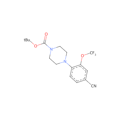 CC(C)(C)OC(=O)N1CCN(c2ccc(C#N)cc2OC(F)(F)F)CC1